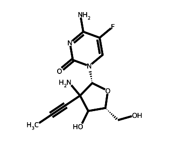 CC#CC1(N)C(O)[C@@H](CO)O[C@H]1n1cc(F)c(N)nc1=O